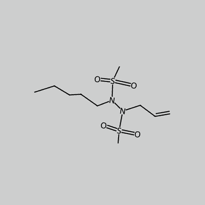 C=CCN(N(CCCCC)S(C)(=O)=O)S(C)(=O)=O